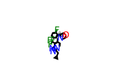 C[C@]1(c2ccccc2F)COCCN1Cc1ccn2c(CC3CC3)nnc2c1C(F)(F)F